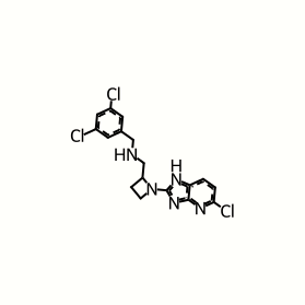 Clc1cc(Cl)cc(CNCC2CCN2c2nc3nc(Cl)ccc3[nH]2)c1